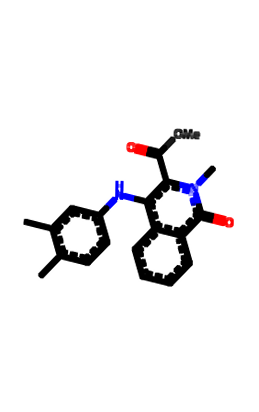 COC(=O)c1c(Nc2ccc(C)c(C)c2)c2ccccc2c(=O)n1C